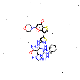 NC(=O)C1C(Nc2cc(-c3csc4c(=O)cc(N5CCOCC5)oc34)sn2)NC(N[C@H]2CCCC[C@H]2N)N2NCNC12